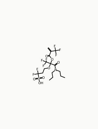 C=C(C(=O)OC(OCCC(F)(F)S(=O)(=O)O)(C(=O)N(CCC)CCC)C(F)(F)F)C(F)(F)F